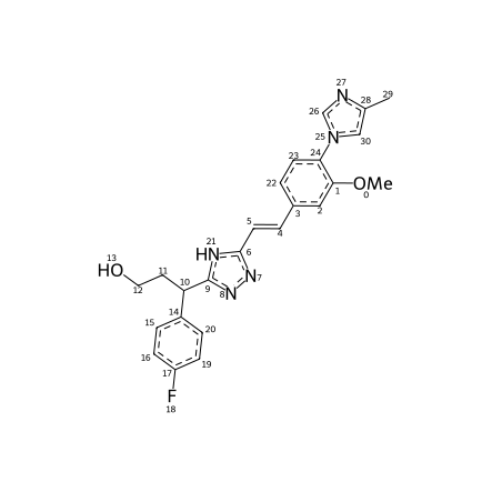 COc1cc(C=Cc2nnc(C(CCO)c3ccc(F)cc3)[nH]2)ccc1-n1cnc(C)c1